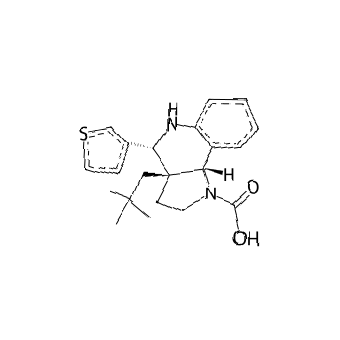 CC(C)(C)C[C@]12CCN(C(=O)O)[C@H]1c1ccccc1N[C@H]2c1ccsc1